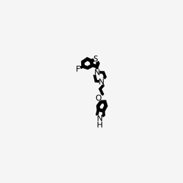 Fc1ccc2scc(N3CCN(CCCOc4ccc5c(c4)CNC5)CC3)c2c1